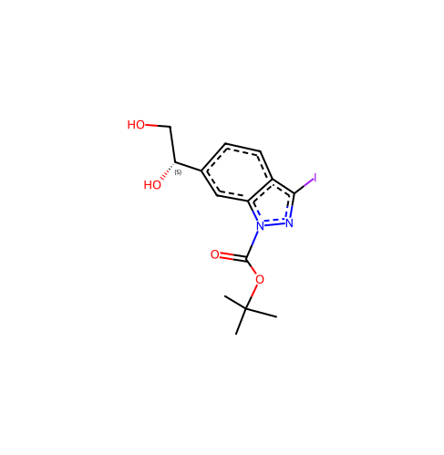 CC(C)(C)OC(=O)n1nc(I)c2ccc([C@H](O)CO)cc21